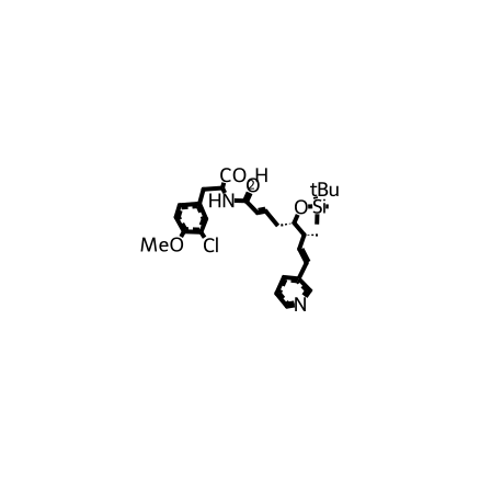 COc1ccc(CC(NC(=O)/C=C/C[C@H](O[Si](C)(C)C(C)(C)C)[C@H](C)/C=C/c2cccnc2)C(=O)O)cc1Cl